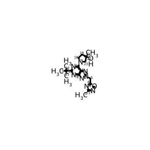 Cc1noc(Cn2nc3nc(C(C)(C)C)nc(N4CC[C@](C)(O)C4)c3n2)n1